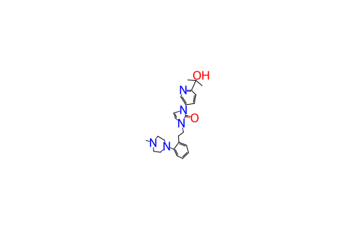 CN1CCN(c2ccccc2CCn2ccn(-c3ccc(C(C)(C)O)nc3)c2=O)CC1